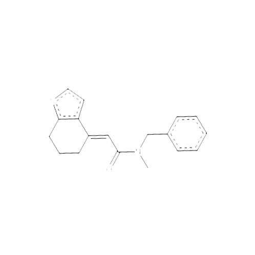 CN(Cc1ccccc1)C(=O)C=C1CCCc2sccc21